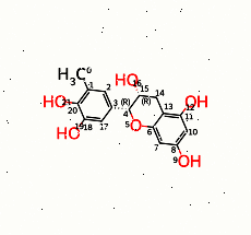 Cc1cc([C@H]2Oc3cc(O)cc(O)c3C[C@H]2O)cc(O)c1O